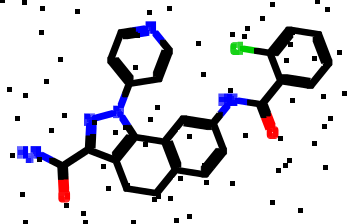 NC(=O)c1nn(-c2ccncc2)c2c1CCc1ccc(NC(=O)c3ccccc3Cl)cc1-2